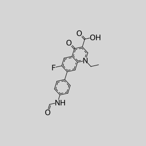 CCn1cc(C(=O)O)c(=O)c2cc(F)c(-c3ccc(NC=O)cc3)cc21